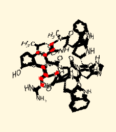 CCNC(=O)[C@@H]1CCCN1C(=O)[C@H](CCCNC(=N)N)NC(=O)[C@H](CC(C)C)N(C)C(=O)[C@@H](Cc1c[nH]c2ccccc12)NC(=O)[C@H](Cc1ccc(O)cc1)NC(=O)[C@H](CO)NC(=O)[C@H](Cc1c[nH]c2ccccc12)NC(=O)[C@H](Cc1c[nH]cn1)NC(=O)[C@@H]1CCC(=O)N1